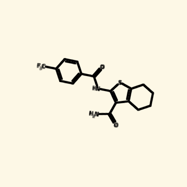 NC(=O)c1c(NC(=O)c2ccc(C(F)(F)F)cc2)sc2c1CCCC2